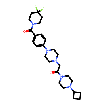 O=C(CN1CCN(c2ccc(C(=O)N3CCC(F)(F)CC3)cc2)CC1)N1CCN(C2CCC2)CC1